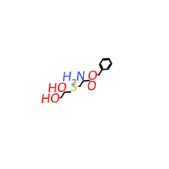 N[C@@H](CSC[C@H](O)CO)C(=O)OCc1ccccc1